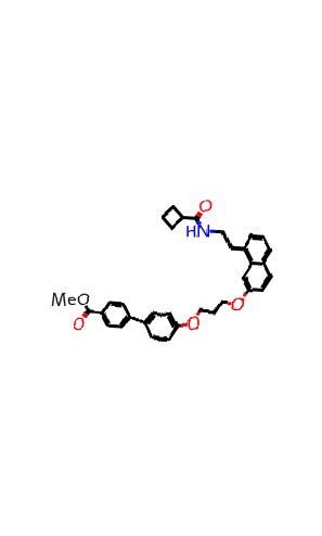 COC(=O)c1ccc(-c2ccc(OCCCOc3ccc4cccc(CCNC(=O)C5CCC5)c4c3)cc2)cc1